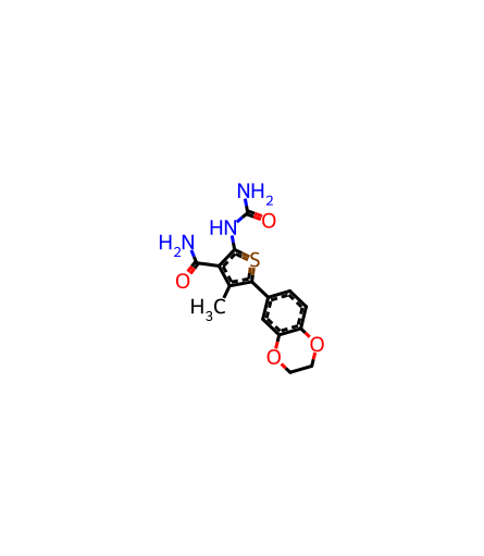 Cc1c(-c2ccc3c(c2)OCCO3)sc(NC(N)=O)c1C(N)=O